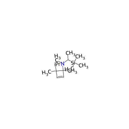 CC(C)C1(C)C=CC1(C)N(C)C(C)[Si](C)(C)C